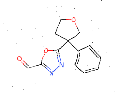 O=Cc1nnc(C2(c3ccccc3)CCOC2)o1